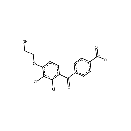 O=C(c1ccc([N+](=O)[O-])cc1)c1ccc(OCCO)c(Cl)c1Cl